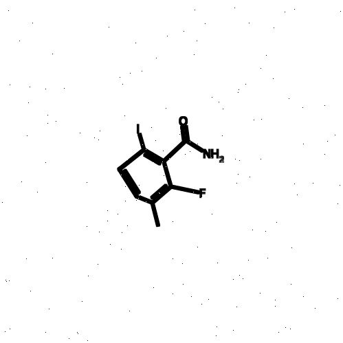 Cc1ccc(I)c(C(N)=O)c1F